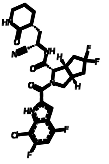 N#C[C@H](C[C@H]1CCCNC1=O)NC(=O)[C@@H]1[C@@H]2CC(F)(F)C[C@@H]2CN1C(=O)c1cc2c(F)cc(F)c(Cl)c2[nH]1